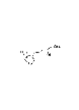 CCCCCCCCCCCC(O)CCCc1ccccc1S(=O)(=O)O